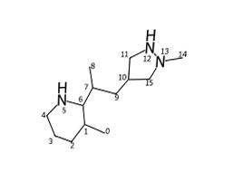 CC1CCCNC1C(C)CC1CNN(C)C1